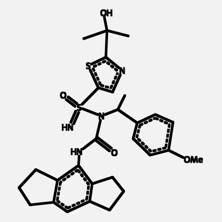 COc1ccc(C(C)N(C(=O)Nc2c3c(cc4c2CCC4)CCC3)S(=N)(=O)c2cnc(C(C)(C)O)s2)cc1